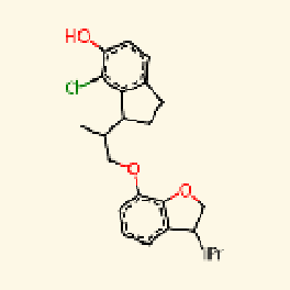 CC(C)C1COc2c(OCC(C)C3CCc4ccc(O)c(Cl)c43)cccc21